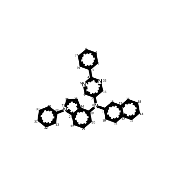 c1ccc(-c2ncc(N(c3ccc4ccccc4c3)c3cccc4c3ccn4-c3ccccc3)cn2)cc1